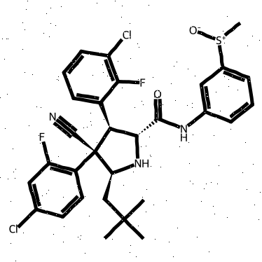 C[S+]([O-])c1cccc(NC(=O)[C@@H]2N[C@@H](CC(C)(C)C)[C@](C#N)(c3ccc(Cl)cc3F)[C@H]2c2cccc(Cl)c2F)c1